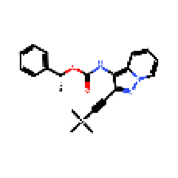 C[C@@H](OC(=O)Nc1c(C#C[Si](C)(C)C)nn2ccccc12)c1ccccc1